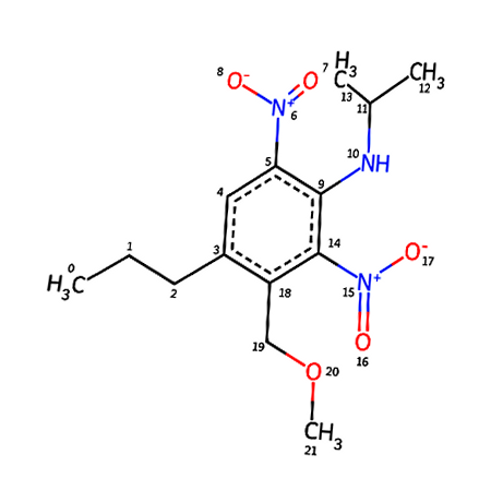 CCCc1cc([N+](=O)[O-])c(NC(C)C)c([N+](=O)[O-])c1COC